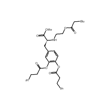 COC(=O)[C@H](Cc1ccc(OC(=O)CCC(C)C)c(OC(=O)CCC(C)C)c1)NCCOC(=O)CC(C)(C)C